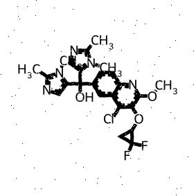 COc1nc2ccc(C(O)(c3cnc(C)n3C)c3cnc(C)n3C)cc2c(Cl)c1OC1CC1(F)F